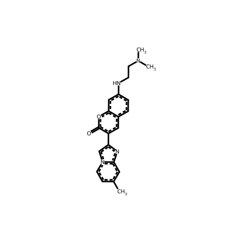 Cc1ccn2cc(-c3cc4ccc(NCCN(C)C)cc4oc3=O)nc2c1